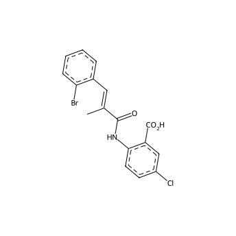 C/C(=C\c1ccccc1Br)C(=O)Nc1ccc(Cl)cc1C(=O)O